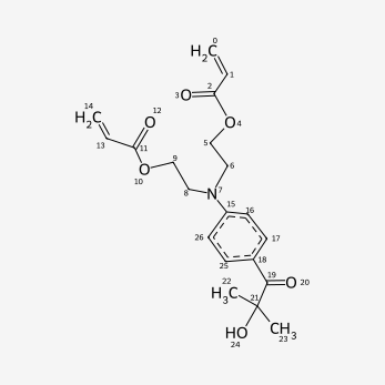 C=CC(=O)OCCN(CCOC(=O)C=C)c1ccc(C(=O)C(C)(C)O)cc1